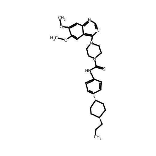 CCC[C@H]1CC[C@H](c2ccc(NC(=S)N3CCN(c4ncnc5cc(OC)c(OC)cc45)CC3)cc2)CC1